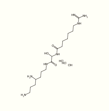 Cl.Cl.Cl.N=C(N)NCCCCCCC(=O)NC(O)C(=O)NCCCC(N)CCCN